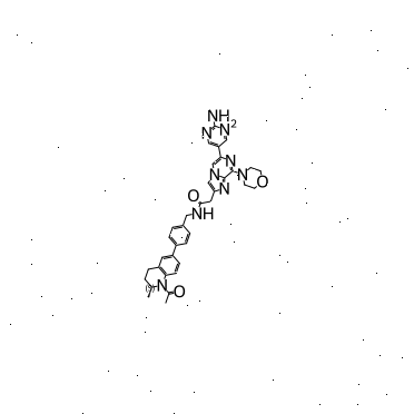 CC(=O)N1c2ccc(-c3ccc(CNC(=O)Cc4cn5cc(-c6cnc(N)nc6)nc(N6CCOCC6)c5n4)cc3)cc2CC[C@@H]1C